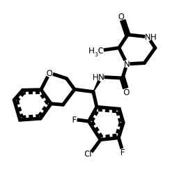 CC1C(=O)NCCN1C(=O)N[C@@H](c1ccc(F)c(Cl)c1F)C1COc2ccccc2C1